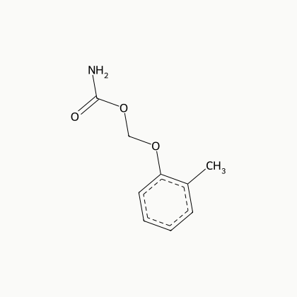 Cc1ccccc1OCOC(N)=O